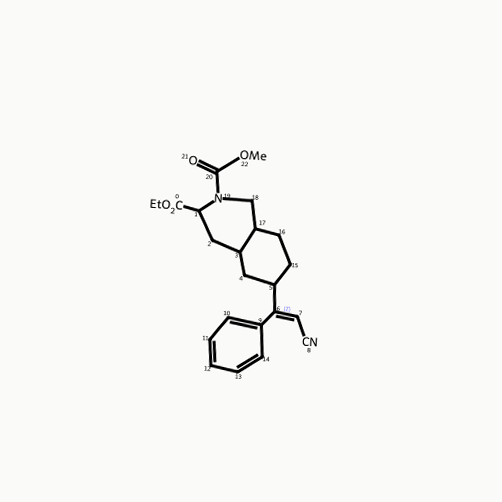 CCOC(=O)C1CC2CC(/C(=C/C#N)c3ccccc3)CCC2CN1C(=O)OC